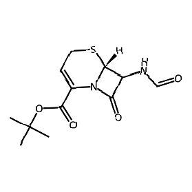 CC(C)(C)OC(=O)C1=CCS[C@@H]2C(NC=O)C(=O)N12